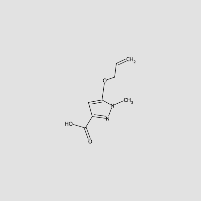 C=CCOc1cc(C(=O)O)nn1C